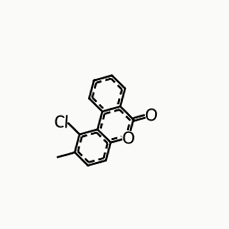 Cc1ccc2oc(=O)c3ccccc3c2c1Cl